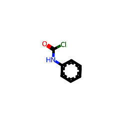 O=C(Cl)Nc1ccccc1